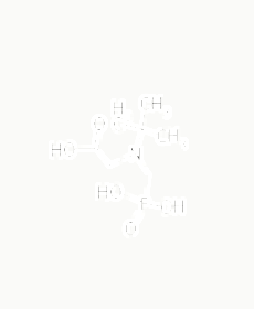 CC(C)(C)N(CC(=O)O)CP(=O)(O)O